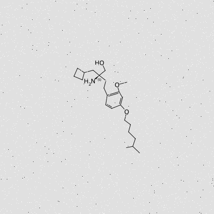 COc1cc(OCCCCC(C)C)ccc1CC[C@@](N)(CO)CC1CCC1